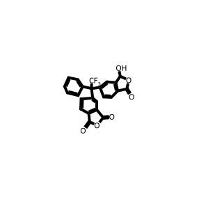 O=C1OC(=O)c2cc(C(c3ccccc3)(c3ccc4c(c3)C(O)OC4=O)C(F)(F)F)ccc21